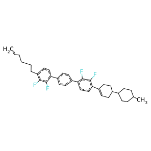 C=CCCCCc1ccc(-c2ccc(-c3ccc(C4=CCC(C5CCC(C)CC5)CC4)c(F)c3F)cc2)c(F)c1F